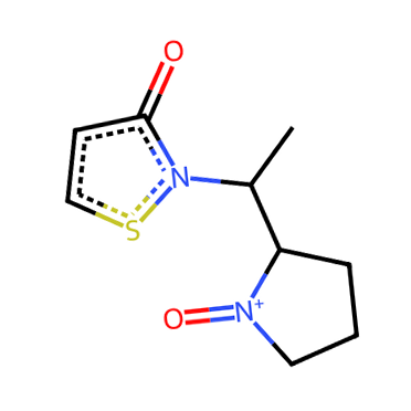 CC(C1CCC[N+]1=O)n1sccc1=O